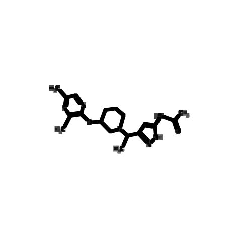 CC(=O)Nc1cc(C(C)N2CCCC(Oc3ncc(C)nc3C)C2)n[nH]1